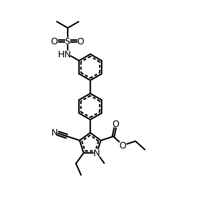 CCOC(=O)c1c(-c2ccc(-c3cccc(NS(=O)(=O)C(C)C)c3)cc2)c(C#N)c(CC)n1C